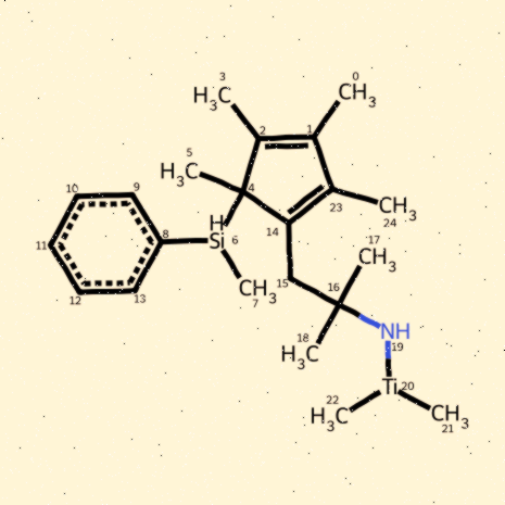 CC1=C(C)C(C)([SiH](C)c2ccccc2)C(CC(C)(C)[NH][Ti]([CH3])[CH3])=C1C